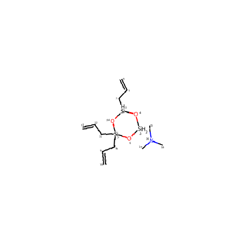 C=CC[SiH]1O[SiH2]O[Si](CC=C)(CC=C)O1.CN(C)C